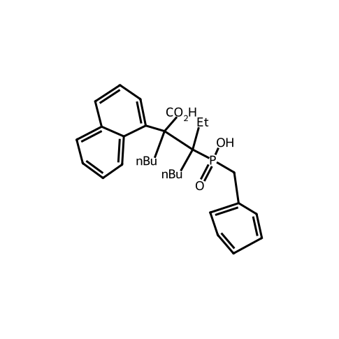 CCCCC(C(=O)O)(c1cccc2ccccc12)C(CC)(CCCC)P(=O)(O)Cc1ccccc1